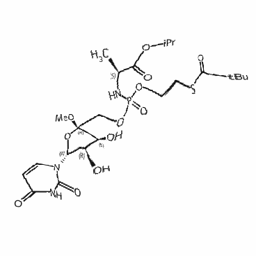 CO[C@]1(COP(=O)(N[C@@H](C)C(=O)OC(C)C)OCCSC(=O)C(C)(C)C)O[C@@H](n2ccc(=O)[nH]c2=O)[C@H](O)[C@@H]1O